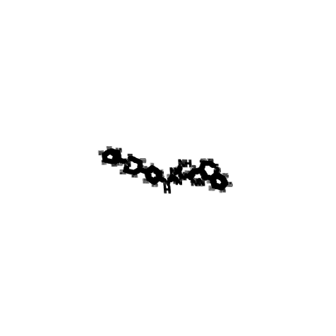 Nc1nc(Nc2ccc(C3CCN(C4CC5CCC4C5)CC3)cc2)nn1-c1cc2c(nn1)-c1ccccc1SCC2